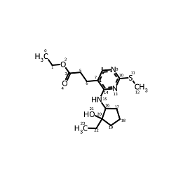 CCOC(=O)CCc1cnc(SC)nc1NC1CCCC1(O)CC